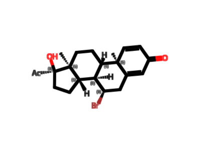 CC(=O)[C@@]1(O)CC[C@H]2[C@@H]3[C@H](Br)CC4=CC(=O)C=C[C@]4(C)[C@H]3CC[C@@]21C